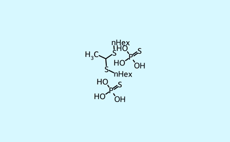 CCCCCCSC(C)SCCCCCC.OP(O)(O)=S.OP(O)(O)=S